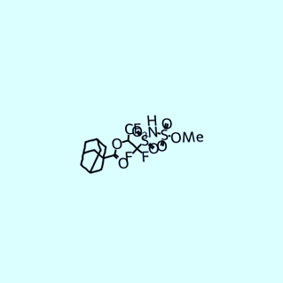 COS(=O)(=O)NS(=O)(=O)C(F)(F)C(OC(=O)C12CC3CC(CC(C3)C1)C2)C(F)(F)F